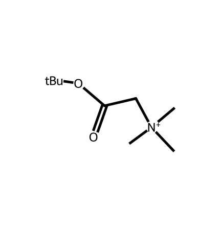 CC(C)(C)OC(=O)C[N+](C)(C)C